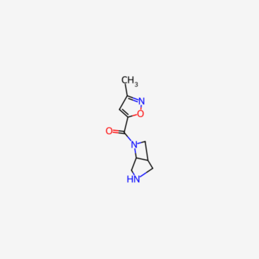 Cc1cc(C(=O)N2CC3CNCC32)on1